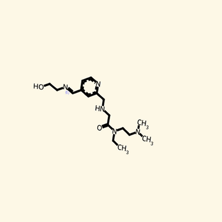 CCN(CCN(C)C)C(=O)CNCc1cc(/C=N/CCO)ccn1